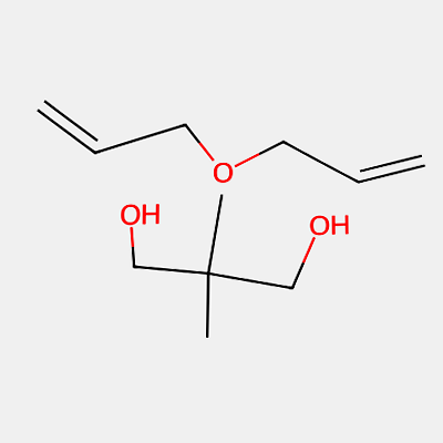 C=CCOCC=C.CC(C)(CO)CO